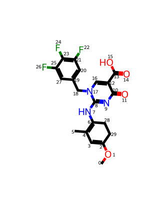 COC1=CC(C)=C(Nc2nc(=O)c(C(=O)O)cn2Cc2cc(F)c(F)c(F)c2)CC1